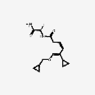 NC(=O)[C@@H](F)NC(=O)C/C=C\C(=C\OCC1CC1)C1CC1